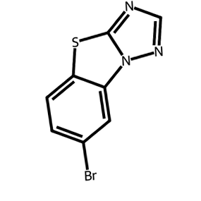 Brc1ccc2sc3ncnn3c2c1